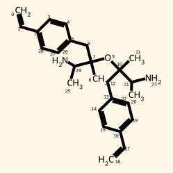 C=Cc1ccc(CC(C)(OC(C)(Cc2ccc(C=C)cc2)C(C)N)C(C)N)cc1